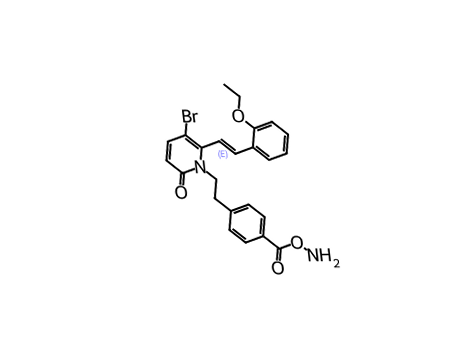 CCOc1ccccc1/C=C/c1c(Br)ccc(=O)n1CCc1ccc(C(=O)ON)cc1